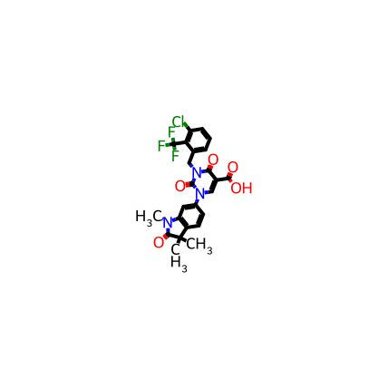 CN1C(=O)C(C)(C)c2ccc(-n3cc(C(=O)O)c(=O)n(Cc4cccc(Cl)c4C(F)(F)F)c3=O)cc21